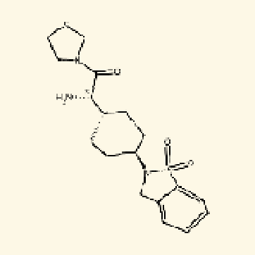 N[C@H](C(=O)N1CCSC1)[C@H]1CC[C@H](N2Cc3ccccc3S2(=O)=O)CC1